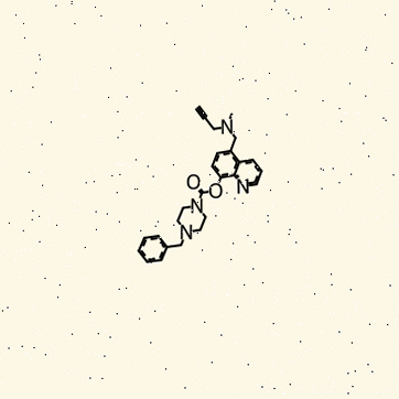 C#CCN(C)Cc1ccc(OC(=O)N2CCN(Cc3ccccc3)CC2)c2ncccc12